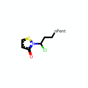 CCCCCCCC(Cl)n1sccc1=O